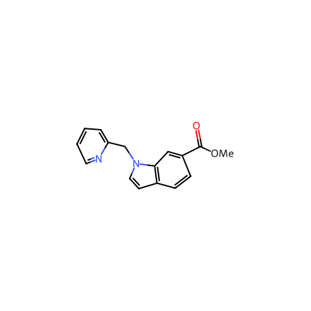 COC(=O)c1ccc2ccn(Cc3ccccn3)c2c1